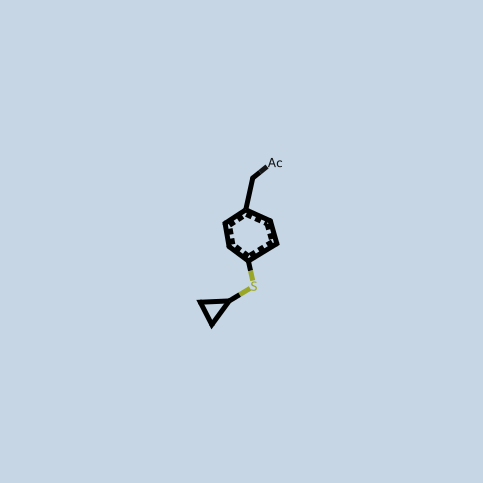 CC(=O)Cc1ccc(SC2CC2)cc1